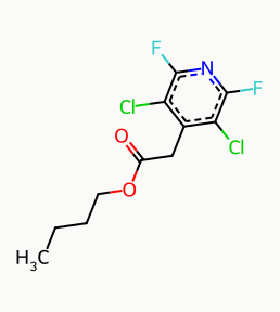 CCCCOC(=O)Cc1c(Cl)c(F)nc(F)c1Cl